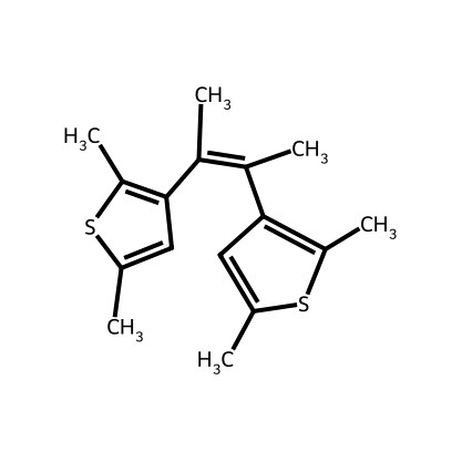 C/C(=C(\C)c1cc(C)sc1C)c1cc(C)sc1C